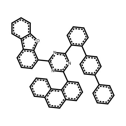 c1ccc(-c2ccc(-c3ccccc3-c3nc(-c4cccc5c4oc4ccccc45)nc(-c4cccc5ccc6ccccc6c45)n3)cc2)cc1